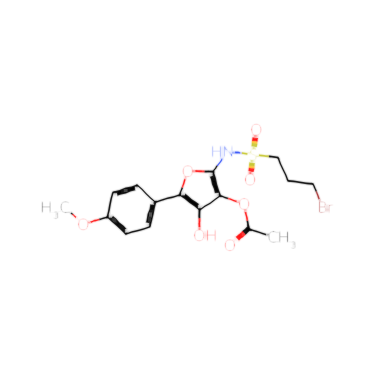 COc1ccc(-c2oc(NS(=O)(=O)CCCBr)c(OC(C)=O)c2O)cc1